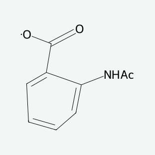 CC(=O)Nc1ccccc1C([O])=O